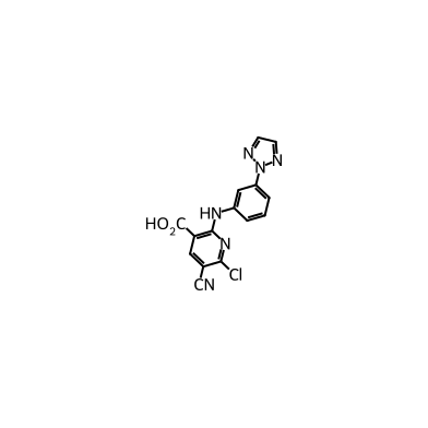 N#Cc1cc(C(=O)O)c(Nc2cccc(-n3nccn3)c2)nc1Cl